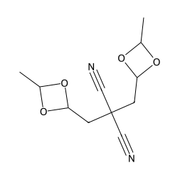 CC1OC(CC(C#N)(C#N)CC2OC(C)O2)O1